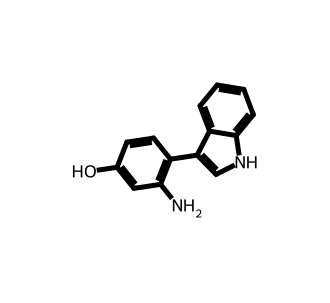 Nc1cc(O)ccc1-c1c[nH]c2ccccc12